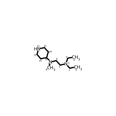 CCN(CC)CCN(C)C1CCNCC1